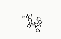 OB(O)c1ccc2c(c1)c1ccccc1n2-c1nc(-c2ccccc2)c2oc3ccc4ccccc4c3c2n1